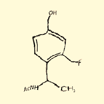 CC(=O)NC(C)c1ccc(O)cc1F